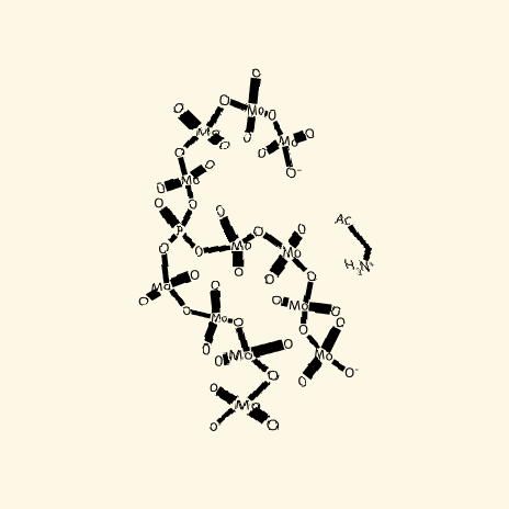 CC(=O)C[NH3+].O=P([O][Mo](=[O])(=[O])[O][Mo](=[O])(=[O])[O][Mo](=[O])(=[O])[O][Mo](=[O])(=[O])[O-])([O][Mo](=[O])(=[O])[O][Mo](=[O])(=[O])[O][Mo](=[O])(=[O])[O][Mo](=[O])(=[O])[O-])[O][Mo](=[O])(=[O])[O][Mo](=[O])(=[O])[O][Mo](=[O])(=[O])[O][Mo](=[O])(=[O])[O-]